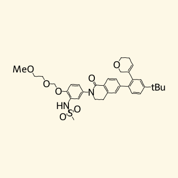 COCCOCOc1ccc(N2CCc3cc(-c4ccc(C(C)(C)C)cc4C4=CCCOC4)ccc3C2=O)cc1NS(C)(=O)=O